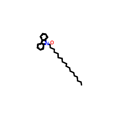 CCCCCCCCCCCCCCCCCC(=O)n1c2ccccc2c2ccccc21